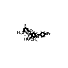 Cc1cc(F)cc(C(=O)Nc2cc3sc(C4CCC(C(C)C)CC4)nc3cc2C(C)(C)O)n1